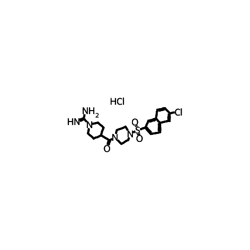 Cl.N=C(N)N1CCC(C(=O)N2CCN(S(=O)(=O)c3ccc4cc(Cl)ccc4c3)CC2)CC1